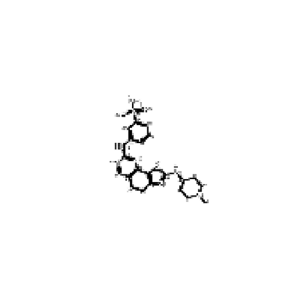 CN1CCC(Nc2nc3c(s2)-c2nc(Nc4cccc(S(N)(=O)=O)c4)ncc2CC3)CC1